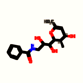 C[C@H]1C(C(O)C(O)CNC(=O)c2ccccc2)OC(C(=O)O)=C[C@H]1O